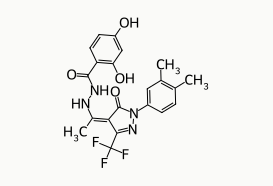 CC(NNC(=O)c1ccc(O)cc1O)=C1C(=O)N(c2ccc(C)c(C)c2)N=C1C(F)(F)F